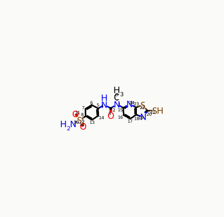 CN(C(=O)Nc1ccc(S(N)(=O)=O)cc1)c1ccc2nc(S)sc2n1